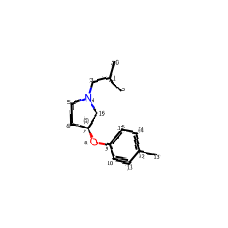 C[C](C)CN1CC[C@H](Oc2ccc(C)cc2)C1